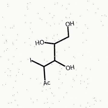 CC(=O)C(I)C(O)C(O)CO